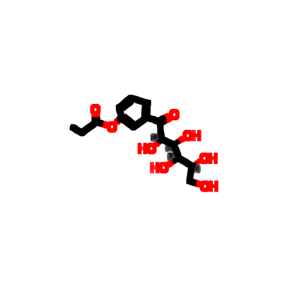 CCC(=O)Oc1cccc(C(=O)[C@H](O)[C@@H](O)[C@H](O)[C@H](O)CO)c1